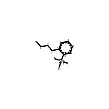 CCCCc1cccc[c]1[Sn]([CH3])([CH3])[CH3]